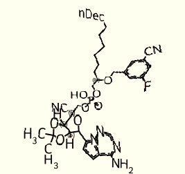 CCCCCCCCCCCCCCCC[C@H](COP(=O)(O)OC[C@@]1(C#N)OC(c2ccc3c(N)ncnn23)[C@@H]2OC(C)(C)O[C@@H]21)OCc1cc(F)cc(C#N)c1